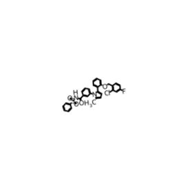 Cc1ccc(-c2ccccc2OCc2ccc(F)cc2Cl)n1-c1cccc(C(=O)NS(=O)(=O)c2ccccc2)c1